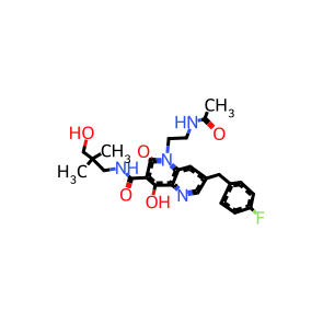 CC(=O)NCCn1c(=O)c(C(=O)NCC(C)(C)CO)c(O)c2ncc(Cc3ccc(F)cc3)cc21